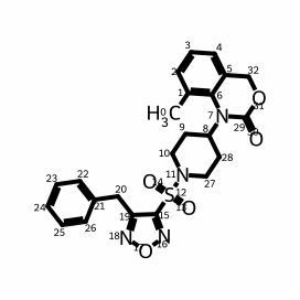 Cc1cccc2c1N(C1CCN(S(=O)(=O)c3nonc3Cc3ccccc3)CC1)C(=O)OC2